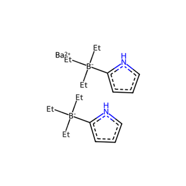 CC[B-](CC)(CC)c1ccc[nH]1.CC[B-](CC)(CC)c1ccc[nH]1.[Ba+2]